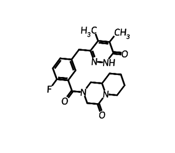 Cc1c(Cc2ccc(F)c(C(=O)N3CC(=O)N4CCCCC4C3)c2)n[nH]c(=O)c1C